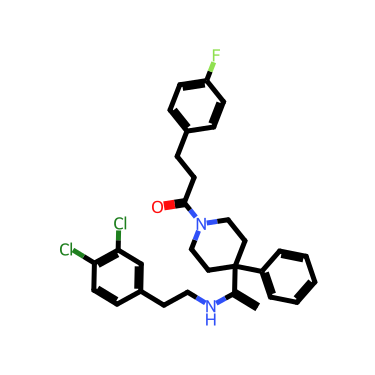 C=C(NCCc1ccc(Cl)c(Cl)c1)C1(c2ccccc2)CCN(C(=O)CCc2ccc(F)cc2)CC1